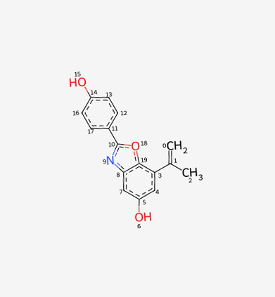 C=C(C)c1cc(O)cc2nc(-c3ccc(O)cc3)oc12